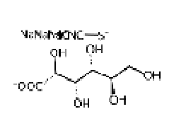 N#C[S-].O=C([O-])[C@H](O)[C@@H](O)[C@H](O)[C@H](O)CO.[Na+].[Na+].[Na+].[OH-]